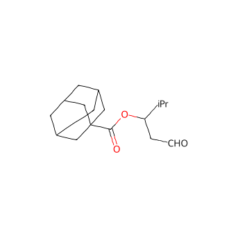 CC(C)C(CC=O)OC(=O)C12CC3CC(CC(C3)C1)C2